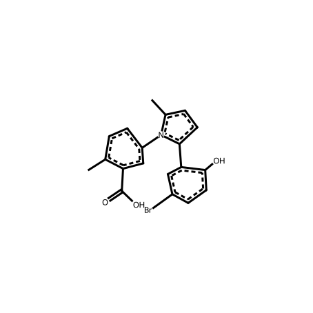 Cc1ccc(-n2c(C)ccc2-c2cc(Br)ccc2O)cc1C(=O)O